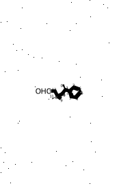 C[C@@H](c1ccccc1)[C@@H]1C[C@@]1(C)CC=O